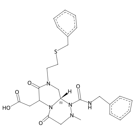 CN1CC(=O)N2C(CC(=O)O)C(=O)N(CCSCc3ccccc3)C[C@@H]2N1C(=O)NCc1ccccc1